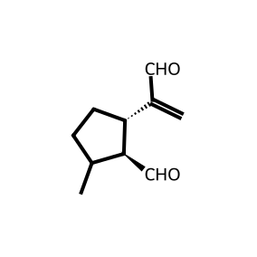 C=C(C=O)[C@H]1CCC(C)[C@@H]1C=O